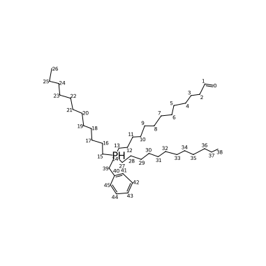 C=CCCCCCCCCCCCC[PH](CCCCCCCCCCCC)(CCCCCCCCCCCC)Cc1ccccc1